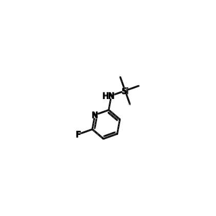 C[Si](C)(C)Nc1cccc(F)n1